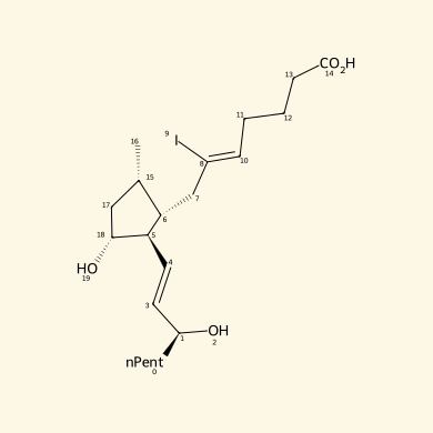 CCCCC[C@H](O)/C=C/[C@@H]1[C@@H](C/C(I)=C/CCCC(=O)O)[C@@H](C)C[C@H]1O